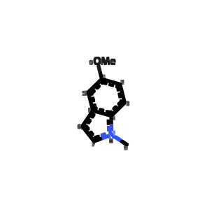 COc1ccc2c([c]cn2C)c1